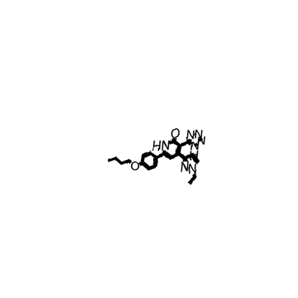 CCCCOc1ccc(-c2cc(-c3ccn(CC)n3)c(-c3nnn[nH]3)c(=O)[nH]2)cc1